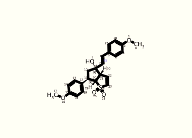 COc1ccc(/C=C/[C@]2(O)C[C@H](c3ccc(OC)cc3)[C@@H]3[C@H]2C=CS3(=O)=O)cc1